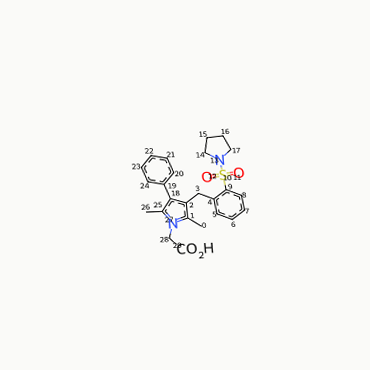 Cc1c(Cc2ccccc2S(=O)(=O)N2CCCC2)c(-c2ccccc2)c(C)n1CC(=O)O